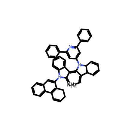 C=c1/c(=C2\C(=C/C)C3C=CC=CC3N2c2cc(-c3ccccc3)nc(-c3ccccc3)c2)c2ccccc2n1-c1cc2ccccc2c2c1CCC=C2